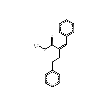 COC(=O)C(=Cc1ccccc1)CCc1ccccc1